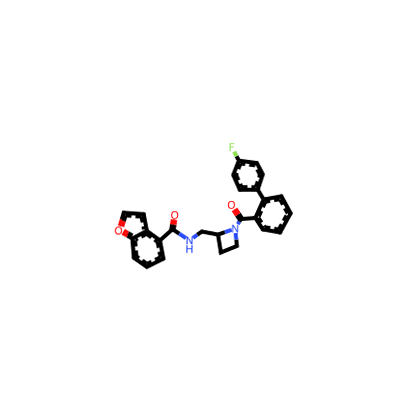 O=C(NCC1CCN1C(=O)c1ccccc1-c1ccc(F)cc1)c1cccc2occc12